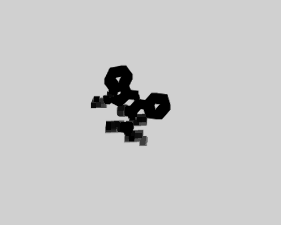 CC(=O)N1CC(C[C@@H](C(=O)NC(=N)N)c2ccccc2)c2ccccc21